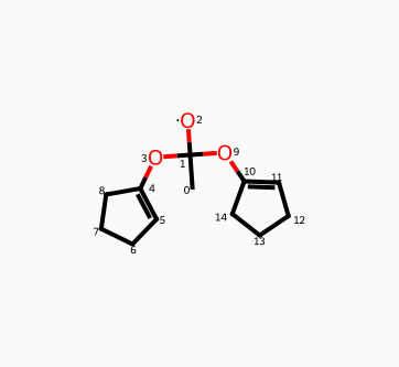 CC([O])(OC1=CCCC1)OC1=CCCC1